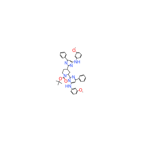 COc1cccc(Nc2cc(-c3ccccc3)nc(C3CCN(C(=O)OC(C)(C)C)C(c4nc(Nc5cccc(OC)c5)cc(-c5ccccc5)n4)C3)n2)c1